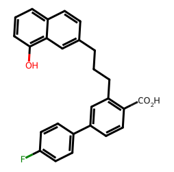 O=C(O)c1ccc(-c2ccc(F)cc2)cc1CCCc1ccc2cccc(O)c2c1